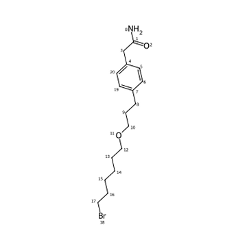 NC(=O)Cc1ccc(CCCOCCCCCCBr)cc1